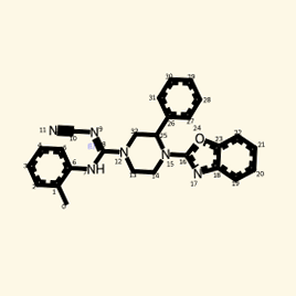 Cc1ccccc1N/C(=N\C#N)N1CCN(c2nc3ccccc3o2)C(c2ccccc2)C1